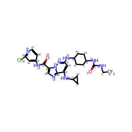 O=C(NCC(F)(F)F)NC1CCC(Nc2cc(NC3CC3)c3ncc(C(=O)Nc4ccnc(Cl)c4)n3n2)CC1